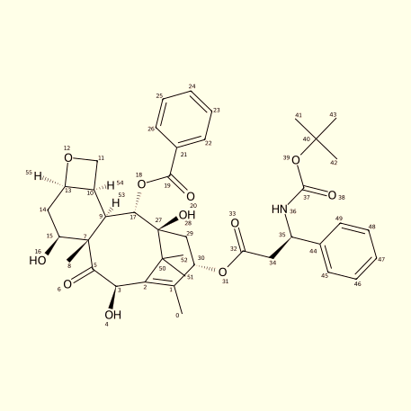 CC1=C2[C@@H](O)C(=O)[C@@]3(C)[C@@H]([C@@H]4CO[C@@H]4C[C@@H]3O)[C@H](OC(=O)c3ccccc3)[C@](O)(C[C@@H]1OC(=O)C[C@@H](NC(=O)OC(C)(C)C)c1ccccc1)C2(C)C